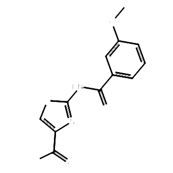 COc1cccc(C(=O)Nc2nc(C(=O)O)cs2)c1